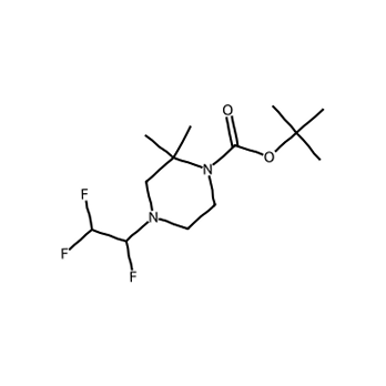 CC(C)(C)OC(=O)N1CCN(C(F)C(F)F)CC1(C)C